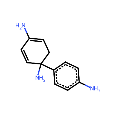 NC1=CCC(N)(c2ccc(N)cc2)C=C1